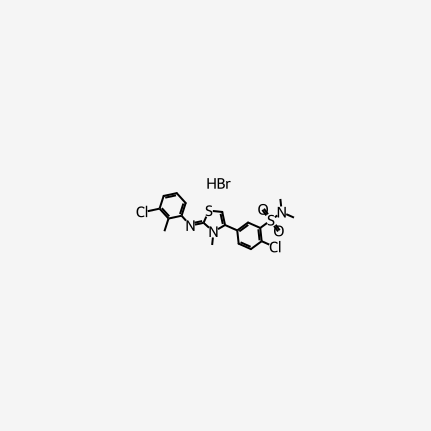 Br.Cc1c(Cl)cccc1N=c1scc(-c2ccc(Cl)c(S(=O)(=O)N(C)C)c2)n1C